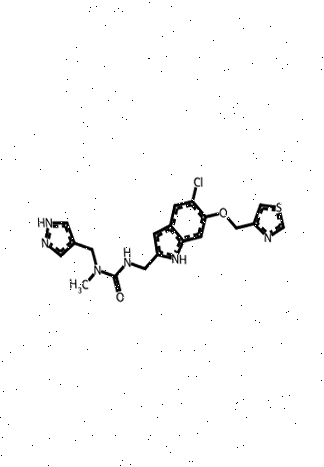 CN(Cc1cn[nH]c1)C(=O)NCc1cc2cc(Cl)c(OCc3cscn3)cc2[nH]1